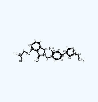 O=C1c2c(ccnc2OCC(F)F)CN1Cc1ccc(-c2cnn(CC(F)(F)F)c2)cc1F